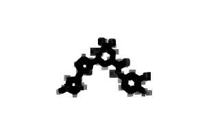 Cn1cnc(-c2ccc(C3CC(C(=O)Nc4ccc(F)c(Cl)c4)CS(=O)(=O)N3)s2)c1